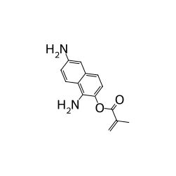 C=C(C)C(=O)Oc1ccc2cc(N)ccc2c1N